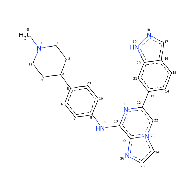 CN1CCC(c2ccc(Nc3nc(-c4ccc5cn[nH]c5c4)cn4ccnc34)cc2)CC1